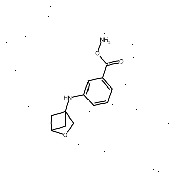 NOC(=O)c1cccc(NC23COC(C2)C3)c1